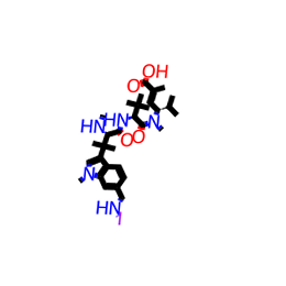 CN[C@H](C(=O)N[C@H](C(=O)N(C)[C@H](/C=C(\C)C(=O)O)C(C)C)C(C)(C)C)C(C)(C)c1cn(C)c2cc(CNI)ccc12